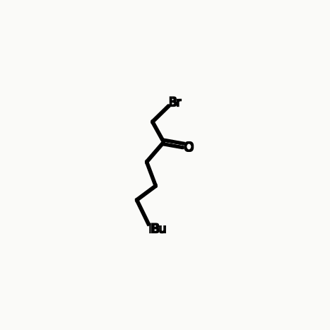 CCC(C)CCCC(=O)CBr